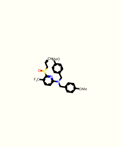 C=CC[S+]([O-])c1nc(N(Cc2ccc(OC)cc2)Cc2ccc(OC)cc2)ccc1C(F)(F)F